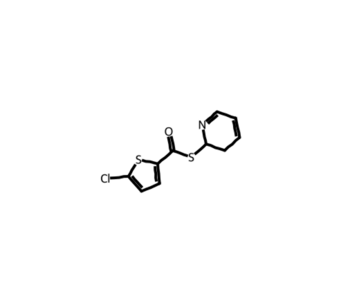 O=C(SC1CC=CC=N1)c1ccc(Cl)s1